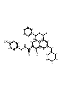 CN1CC(c2ccccc2)n2cc(C(=O)NCc3ccc(Cl)cc3)c(=O)c3cc(CC4CCOCC4)cc1c32